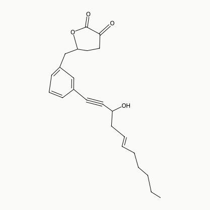 CCCCCC=CCC(O)C#Cc1cccc(CC2CCC(=O)C(=O)O2)c1